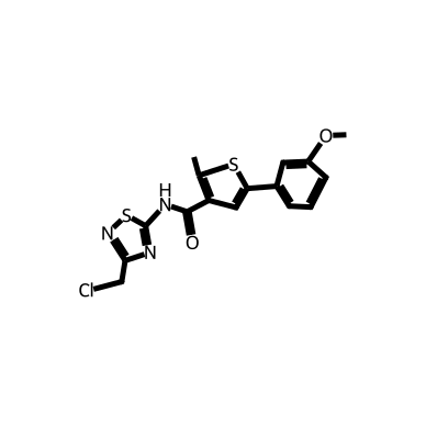 COc1cccc(-c2cc(C(=O)Nc3nc(CCl)ns3)c(C)s2)c1